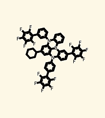 Fc1c(F)c(F)c(-c2ccc(N3c4ccc(-c5c(F)c(F)c(F)c(F)c5F)cc4B4c5ccccc5N(c5cccc(-c6c(F)c(F)c(F)c(F)c6F)c5)c5cc(C6CCCCC6)cc3c54)cc2)c(F)c1F